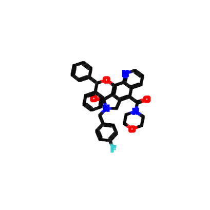 O=C1c2c(c(C(=O)N3CCOCC3)c3cccnc3c2OC(c2ccccc2)c2ccccc2)CN1Cc1ccc(F)cc1